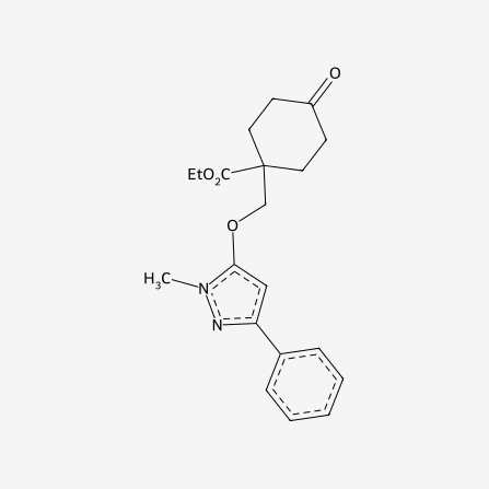 CCOC(=O)C1(COc2cc(-c3ccccc3)nn2C)CCC(=O)CC1